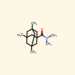 CN(C)C(=O)C12CC3(C)CC(C)(CC(C)(C3)C1)C2